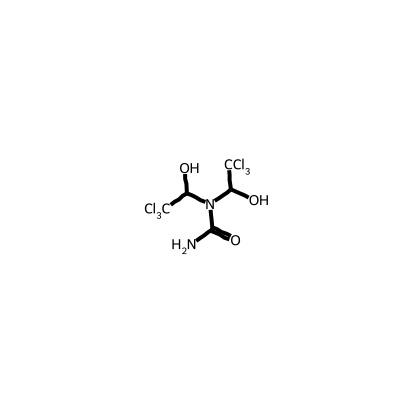 NC(=O)N(C(O)C(Cl)(Cl)Cl)C(O)C(Cl)(Cl)Cl